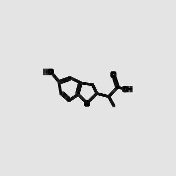 CC(C(=O)O)C1Cc2cc(O)ccc2O1